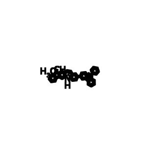 CC1(C)c2ccccc2-c2cc3c(cc21)C=Cc1cc(-c2ccc4c(c2)c2ccccc2n4-c2ccccc2)ccc1N3